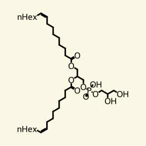 CCCCCC/C=C\CCCCCCCC(=O)OCC(COP(=O)(O)OCC(O)CO)OC(=O)CCCCCCC/C=C\CCCCCC